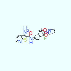 Cc1ccc2c(N)c(C(=O)N[C@H]3CCc4c(ccc(N5CC6CCC(C5)N6C(=O)OC(C)(C)C)c4F)C3)sc2n1